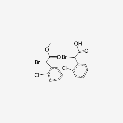 COC(=O)C(Br)c1ccccc1Cl.O=C(O)C(Br)c1ccccc1Cl